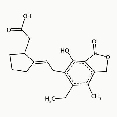 CCc1c(C)c2c(c(O)c1CC=C1CCCC1CC(=O)O)C(=O)OC2